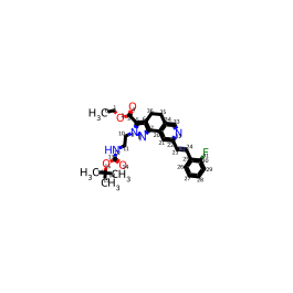 CCOC(=O)c1c2c(nn1CCNC(=O)OC(C)(C)C)-c1cc(/C=C/c3ccccc3F)ncc1CC2